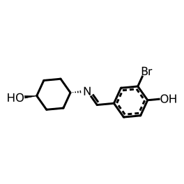 Oc1ccc(C=N[C@H]2CC[C@H](O)CC2)cc1Br